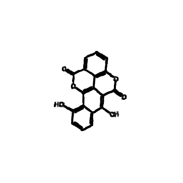 O=c1oc2c3c(O)cccc3c(O)c3c(=O)oc4cccc1c4c32